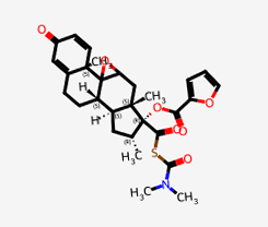 C[C@@H]1C[C@H]2[C@@H]3CCC4=CC(=O)C=C[C@]4(C)C34OC4C[C@]2(C)[C@@]1(OC(=O)c1ccco1)C(=O)SC(=O)N(C)C